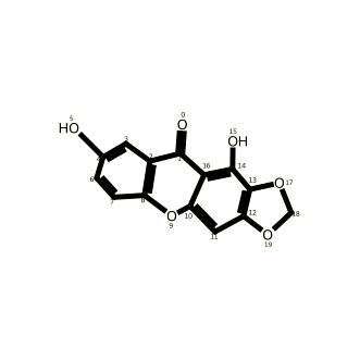 O=c1c2cc(O)ccc2oc2cc3c(c(O)c12)OCO3